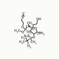 B[C@@H]1O[C@@](CC)(CCO)[C@H](OP(=C)(OC)OCC[N+]#[C-])C1O[Si](C)(C)C(C)(C)C